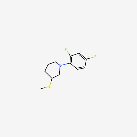 CSC1CCCN(c2ccc(F)cc2F)C1